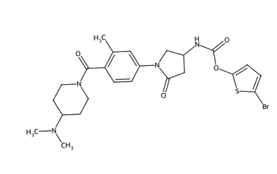 Cc1cc(N2CC(NC(=O)Oc3ccc(Br)s3)CC2=O)ccc1C(=O)N1CCC(N(C)C)CC1